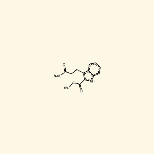 COC(=O)CCc1c(C(=O)OC(C)(C)C)[nH]c2ccccc12